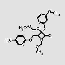 COCO[C@@]1(Cc2cc(OC)ccn2)C(=O)N(COC)[C@H]1COc1ccc(C)cn1